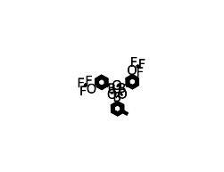 Cc1cccc(B2OB(c3cccc(OC(F)(F)F)c3)OB(c3cccc(OC(F)(F)F)c3)O2)c1